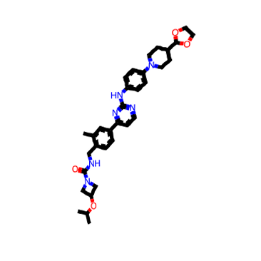 Cc1cc(-c2ccnc(Nc3ccc(N4CCC(C5OCCO5)CC4)cc3)n2)ccc1CNC(=O)N1CC(OC(C)C)C1